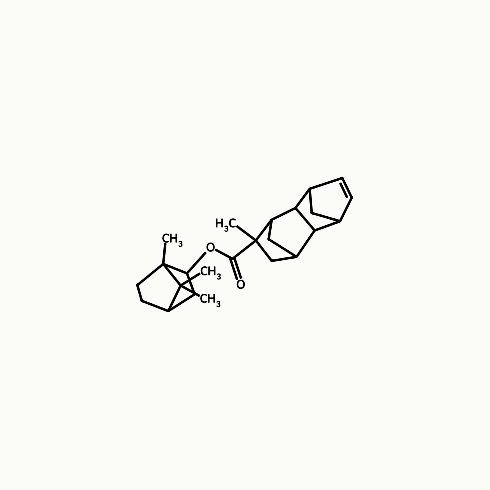 CC1(C(=O)OC2CC3CCC2(C)C3(C)C)CC2CC1C1C3C=CC(C3)C21